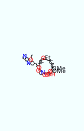 C=CCOC1CC(C=C(C)C2OC(=O)C3CCCCN3C(=O)C(=O)C3(O)OC(C(OC)CC(C)C/C(C)=C/C(CC)C(=O)CCC2C)C(OC)CC3C)CCC1N(C)c1ccc2c(ccn2C)c1